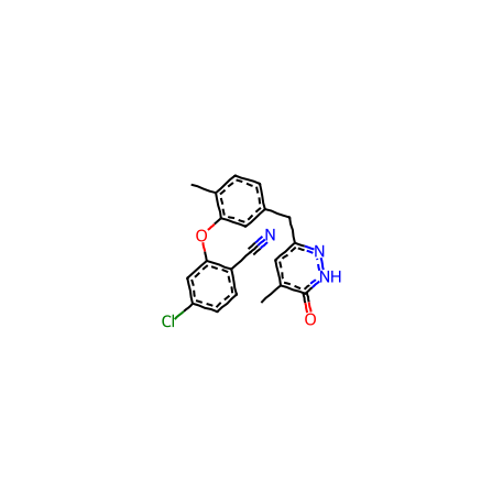 Cc1ccc(Cc2cc(C)c(=O)[nH]n2)cc1Oc1cc(Cl)ccc1C#N